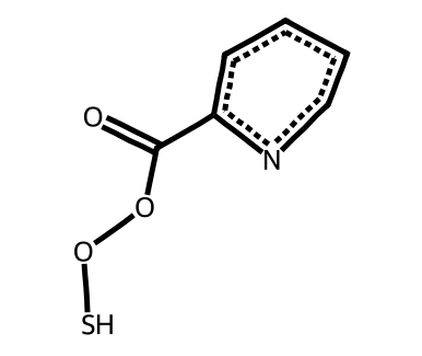 O=C(OOS)c1ccccn1